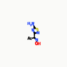 CC(=O)/C(=N\O)c1nsc(N)n1